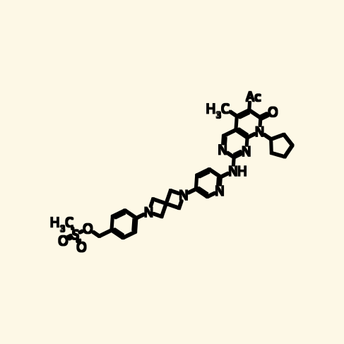 CC(=O)c1c(C)c2cnc(Nc3ccc(N4CC5(CN(c6ccc(COS(C)(=O)=O)cc6)C5)C4)cn3)nc2n(C2CCCC2)c1=O